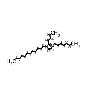 CCCCCCCCCCCC[n+]1ccn(CCCCCCC)c1CCCC